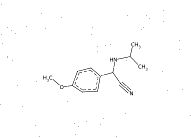 COc1ccc(C(C#N)NC(C)C)cc1